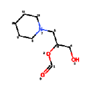 O=COC(CO)CN1CCCCC1